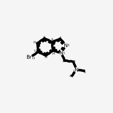 CN(C)CCn1ncc2ccc(Br)cc21